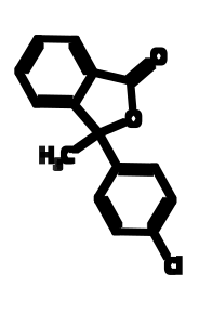 CC1(c2ccc(Cl)cc2)OC(=O)c2ccccc21